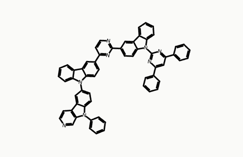 c1ccc(-c2cc(-c3ccccc3)nc(-n3c4ccccc4c4cc(-c5nccc(-c6ccc7c(c6)c6ccccc6n7-c6ccc7c(c6)c6ccncc6n7-c6ccccc6)n5)ccc43)n2)cc1